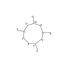 CC1CCC(C)CC(C)CC(C)C1